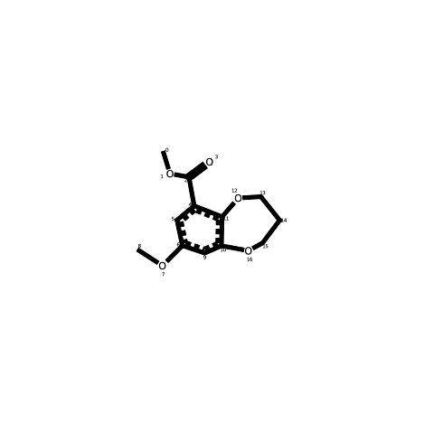 COC(=O)c1cc(OC)cc2c1OCCCO2